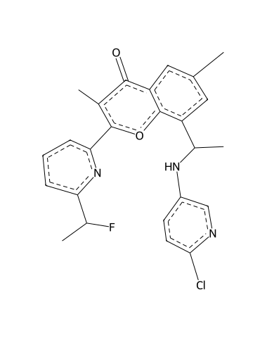 Cc1cc(C(C)Nc2ccc(Cl)nc2)c2oc(-c3cccc(C(C)F)n3)c(C)c(=O)c2c1